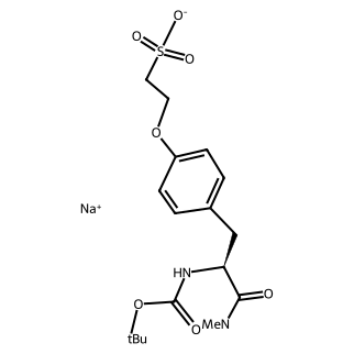 CNC(=O)[C@H](Cc1ccc(OCCS(=O)(=O)[O-])cc1)NC(=O)OC(C)(C)C.[Na+]